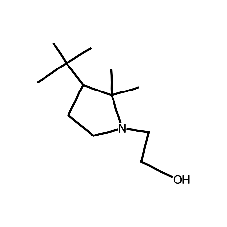 CC(C)(C)C1CCN(CCO)C1(C)C